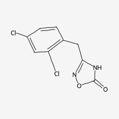 O=c1[nH]c(Cc2ccc(Cl)cc2Cl)no1